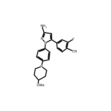 COC1CCN(c2ccc(-n3nc(N)cc3-c3ccc(C#N)c(F)c3)cc2)CC1